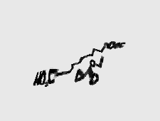 C=COC(=O)C1CC1.CCCCCCCCCCCCCCCCCC(=O)O